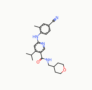 Cc1cc(C#N)ccc1Nc1cc(C(C)C)c(C(=O)NCC2CCOCC2)cn1